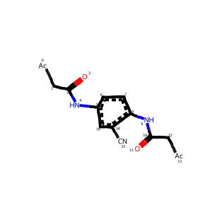 CC(=O)CC(=O)Nc1ccc(NC(=O)CC(C)=O)c(C#N)c1